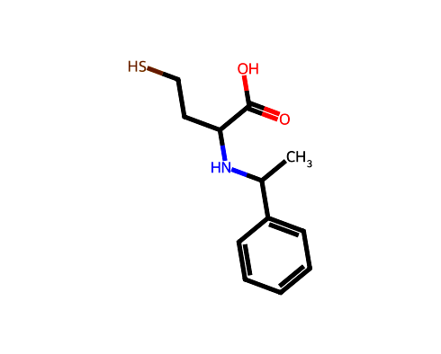 CC(NC(CCS)C(=O)O)c1ccccc1